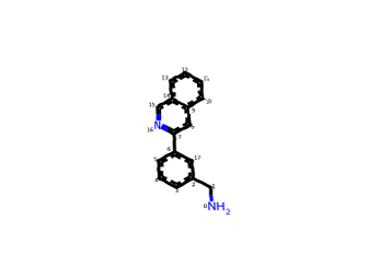 NCc1cccc(-c2cc3ccccc3cn2)c1